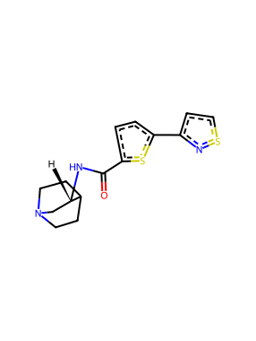 O=C(N[C@H]1CN2CCC1CC2)c1ccc(-c2ccsn2)s1